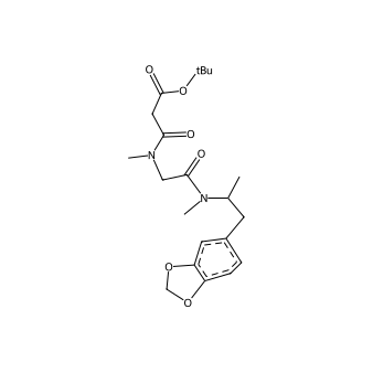 CC(Cc1ccc2c(c1)OCO2)N(C)C(=O)CN(C)C(=O)CC(=O)OC(C)(C)C